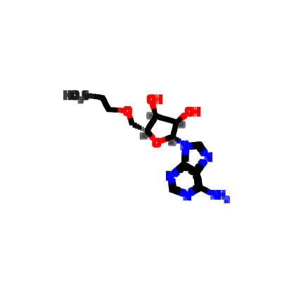 Nc1ncnc2c1ncn2[C@@H]1O[C@H](COCCS(=O)(=O)O)[C@@H](O)[C@H]1O